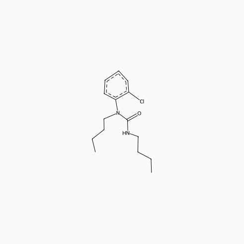 CCCCNC(=O)N(CCCC)c1ccccc1Cl